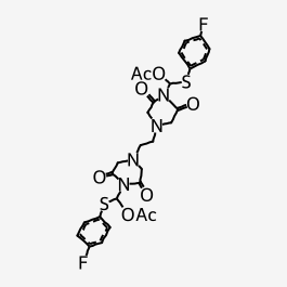 CC(=O)OC(Sc1ccc(F)cc1)N1C(=O)CN(CCN2CC(=O)N(C(OC(C)=O)Sc3ccc(F)cc3)C(=O)C2)CC1=O